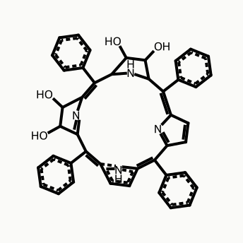 OC1C2=NC(=C(c3ccccc3)C3NC(C(c4ccccc4)=C4C=CC(=N4)C(c4ccccc4)=c4ccc([nH]4)=C2c2ccccc2)C(O)C3O)C1O